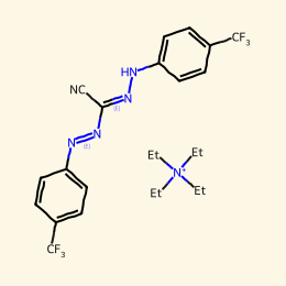 CC[N+](CC)(CC)CC.N#CC(/N=N/c1ccc(C(F)(F)F)cc1)=N\Nc1ccc(C(F)(F)F)cc1